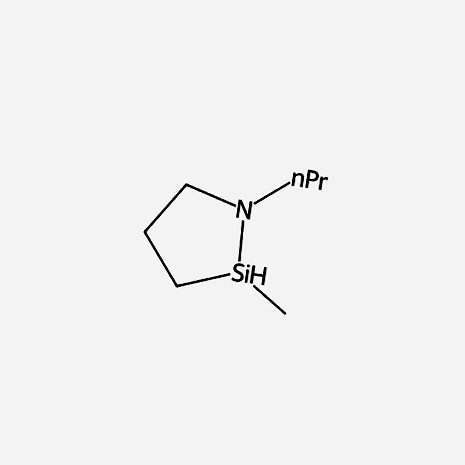 CCCN1CCC[SiH]1C